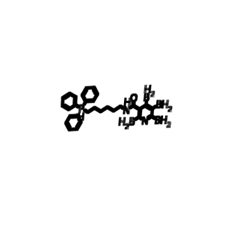 Bc1nc(B)c(C(=O)NCCCCCC[PH](c2ccccc2)(c2ccccc2)c2ccccc2)c(B)c1B